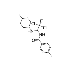 Cc1ccc(C(=O)NC(NC2CCC(C)CC2)C(Cl)(Cl)Cl)cc1